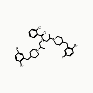 CC(CN(CC(C)N1CCC(Cc2cc(F)ccc2Br)CC1)C(=O)c1ccccc1Cl)N1CCC(Cc2cc(F)ccc2Br)CC1